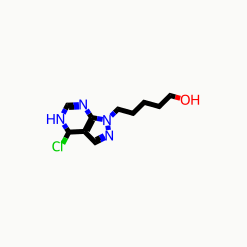 OCCCCCn1ncc2c1N=CNC2Cl